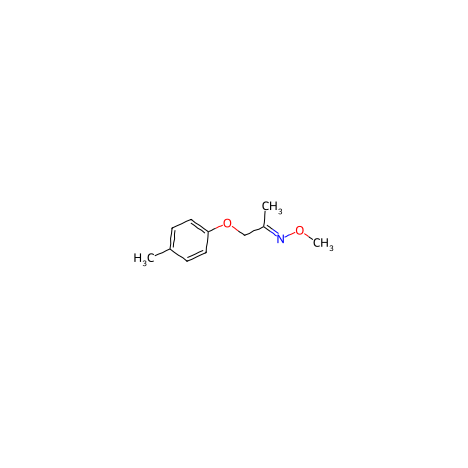 CO/N=C(\C)COc1ccc(C)cc1